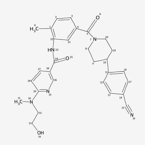 Cc1ccc(C(=O)N2CCC(c3ccc(C#N)cc3)CC2)cc1NC(=O)c1ccc(N(C)CCO)nc1